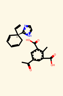 C=C[C@@]1(c2ncc[nH]2)C=CC=CC1.CC(=O)c1cc(C(=O)O)c(C)c(C(=O)O)c1